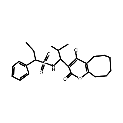 CCC(c1ccccc1)S(=O)(=O)NC(c1c(O)c2c(oc1=O)CCCCCC2)C(C)C